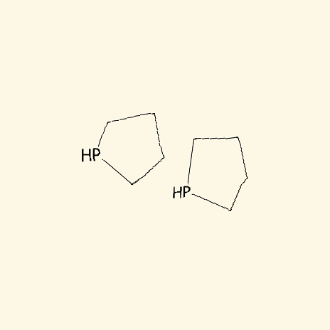 C1CCPC1.C1CCPC1